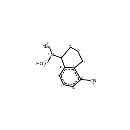 CC(C)(C)N(C(=O)O)C1CCCc2c(C#N)cccc21